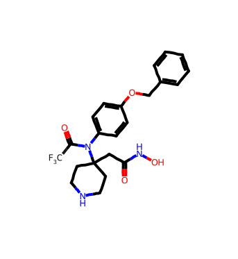 O=C(CC1(N(C(=O)C(F)(F)F)c2ccc(OCc3ccccc3)cc2)CCNCC1)NO